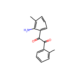 Cc1ccccc1C(=O)C(=O)c1cccc(C)c1N